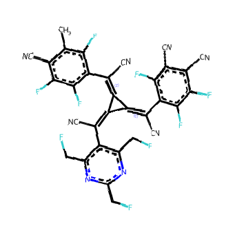 Cc1c(F)c(/C(C#N)=C2\C(=C(C#N)c3c(CF)nc(CF)nc3CF)\C2=C(/C#N)c2c(F)c(F)c(C#N)c(C#N)c2F)c(F)c(F)c1C#N